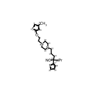 Cc1csc(OCCN2CCN(CCCC(C#N)(c3cccs3)C(C)C)CC2)c1